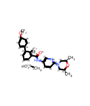 CS(=O)(=O)O.Cc1c(C(=O)Nc2ccc(N3C[C@@H](C)O[C@@H](C)C3)nc2)cccc1-c1ccc(OC(F)(F)F)cc1